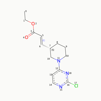 CCOC(=O)/C=C/[C@@H]1CCCN(c2ccnc(Cl)n2)C1